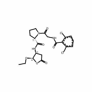 CCO[C@@H]1OC(=O)C[C@@H]1NC(=O)[C@@H]1CCCN1C(=O)CNC(=O)c1c(Cl)cccc1Cl